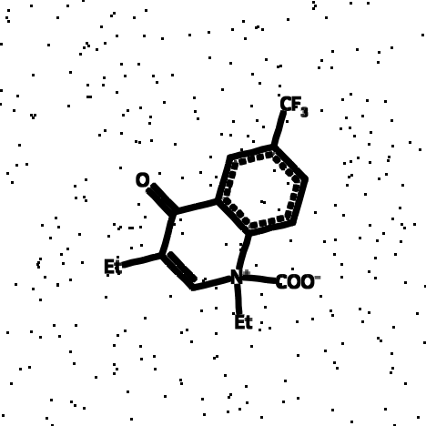 CCC1=C[N+](CC)(C(=O)[O-])c2ccc(C(F)(F)F)cc2C1=O